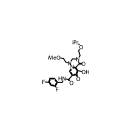 COCCN1CN(CCOC(C)C)C(=O)c2c(O)c(=O)c(C(=O)NCc3ccc(F)cc3F)cn21